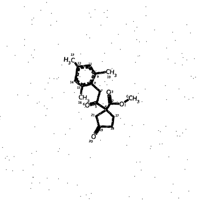 COC(=O)C1(C(=O)Cc2c(C)cc(C)cc2C)CCC(=O)C1